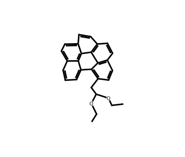 CCOC(Cc1ccc2ccc3ccc4ccc5cccc6c1c2c3c4c56)OCC